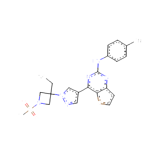 CCS(=O)(=O)N1CC(CC#N)(n2cc(-c3nc(Nc4ccc(C#N)cc4)nc4ccsc34)cn2)C1